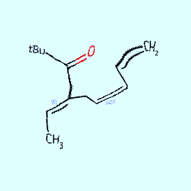 C=C/C=C\C(=C/C)C(=O)C(C)(C)C